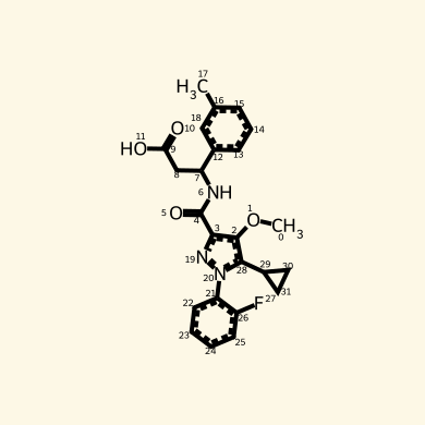 COc1c(C(=O)NC(CC(=O)O)c2cccc(C)c2)nn(-c2ccccc2F)c1C1CC1